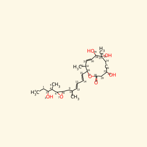 CCC(O)C(C)C1OC1CC(C)/C=C/C=C/C1OC(=O)CC(O)CCC(C)(O)C(O)/C=C/C1C